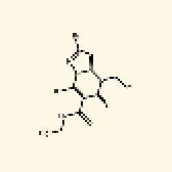 CC(C)Cn1c(=O)c(C(=O)NCC(F)(F)F)c(O)n2nc(Br)cc12